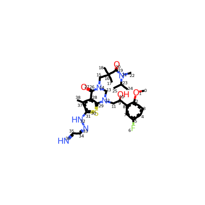 COc1ccc(F)cc1C(O)CN1CN(CC(C)(C)C(=O)N(C)C(C)C)C(=O)c2c1sc(N/N=C\C=N)c2C